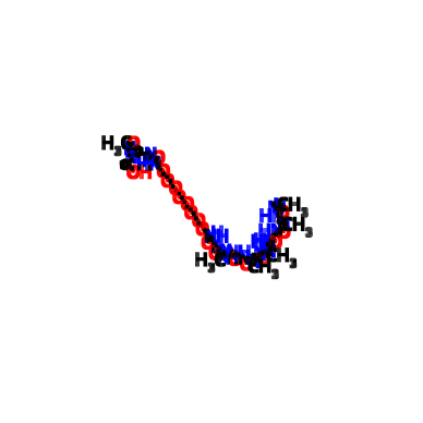 CC(=O)N1CCN(Cc2ccccc2CO)c2cc(-c3cnc(C(=O)NCCOCCOCCOCCOCCOCCOCCOCCOCCNC(=O)CCNC(=O)c4nc(NC(=O)CCNC(=O)c5cc(NC(=O)c6nc(NC(=O)CCNC(=O)c7cc(NC(=O)c8nccn8C)cn7C)cn6C)cn5C)cn4C)nc3)ccc21